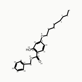 CCCCCCCCOc1ccc(C(=O)OCc2ccccc2)c(O)c1